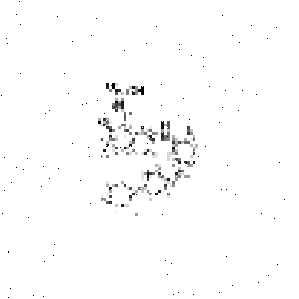 C[C@@H]1COCCN1c1ccc(Nc2ncc(F)c(Nc3ccc4c(n3)N(CO[PH](=O)O)C(=O)C(C)(C)O4)n2)cn1